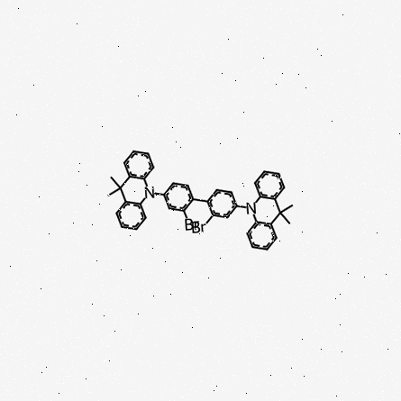 CC1(C)c2ccccc2N(c2ccc(-c3ccc(N4c5ccccc5C(C)(C)c5ccccc54)cc3Br)c(Br)c2)c2ccccc21